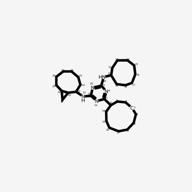 C1CCCCCC(c2nc(NC3CCCCCCCC3)nc(NC3CCCCCCC4CC43)n2)CCCC1